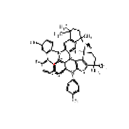 Cc1cc2c3c(c1)N(c1ccc(C(C)(C)C)cc1)c1sc4c(c1B3c1cc3c(cc1N2c1ccc(C(C)(C)C)cc1-c1c(F)cccc1F)C(C)(C)CCC3(C)C)C(C)(C)CCC4(C)C